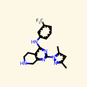 Cc1cc(C)n(-c2nc3c(c(Nc4cccc(C(F)(F)F)c4)n2)CCNC3)n1